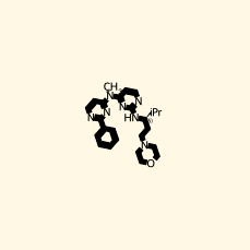 CC(C)[C@H](CCN1CCOCC1)Nc1nccc(N(C)c2ccnc(-c3ccccc3)n2)n1